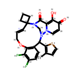 CCc1ccsc1C1c2ccc(F)c(F)c2OC/C=C/C2(CCC2)N2CN1n1ccc(=O)c(O)c1C2=O